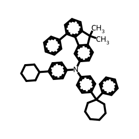 CC1(C)c2ccc(N(c3ccc(C4CCCCC4)cc3)c3ccc(C4(c5ccccc5)CCCCCC4)cc3)cc2-c2c(-c3ccccc3)cccc21